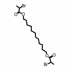 CC(Br)C(=O)OCCCCCCCCCCCCOC(=O)C(C)Br